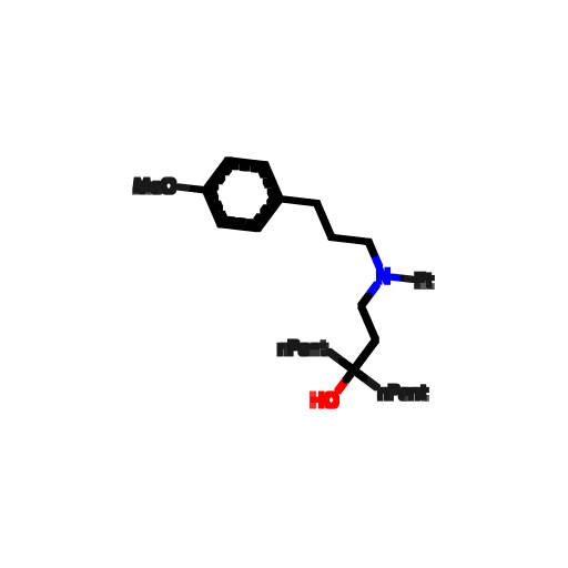 CCCCCC(O)(CCCCC)CCN(CC)CCCc1ccc(OC)cc1